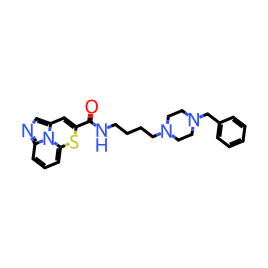 O=C(NCCCCN1CCN(Cc2ccccc2)CC1)C1=Cc2cnc3cccc(n23)S1